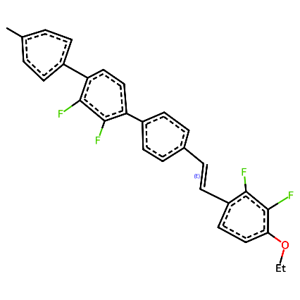 CCOc1ccc(/C=C/c2ccc(-c3ccc(-c4ccc(C)cc4)c(F)c3F)cc2)c(F)c1F